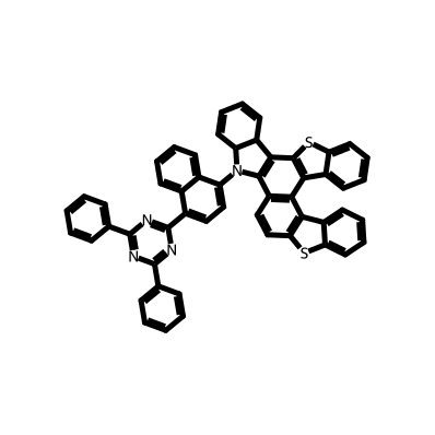 C1=CC2c3c(c4ccc5sc6ccccc6c5c4c4c3sc3ccccc34)N(c3ccc(-c4nc(-c5ccccc5)nc(-c5ccccc5)n4)c4ccccc34)C2C=C1